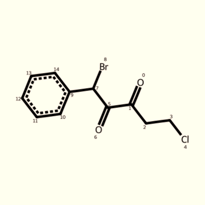 O=C(CCCl)C(=O)C(Br)c1ccccc1